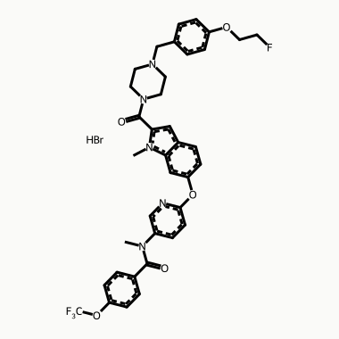 Br.CN(C(=O)c1ccc(OC(F)(F)F)cc1)c1ccc(Oc2ccc3cc(C(=O)N4CCN(Cc5ccc(OCCF)cc5)CC4)n(C)c3c2)nc1